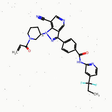 C=CC(=O)N1CCC[C@@H](n2nc(-c3ccc(C(=O)Nc4cc(C(F)(F)CC)ccn4)cc3)c3cncc(C#N)c32)C1